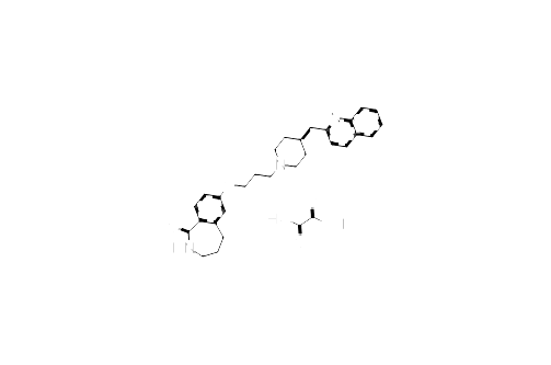 O=C(O)C(=O)O.O=C1NCCCc2cc(OCCCN3CCC(=Cc4ccc5ccccc5n4)CC3)ccc21